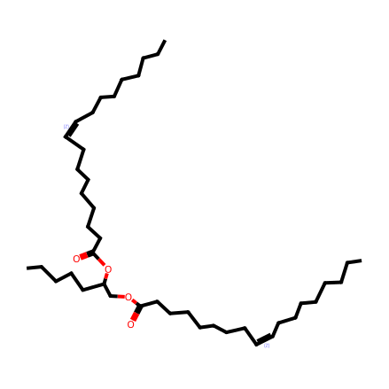 CCCCCCCC/C=C\CCCCCCCC(=O)OCC(CCCCC)OC(=O)CCCCCCC/C=C\CCCCCCCC